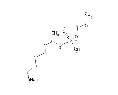 CCCCCCCCCCCCCCC(C)OP(=O)(O)OCCN